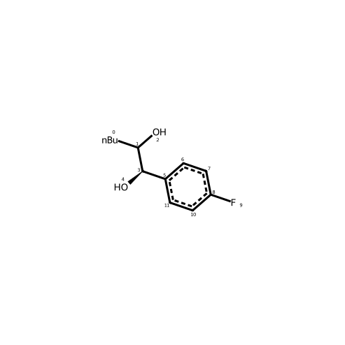 CCCCC(O)[C@H](O)c1ccc(F)cc1